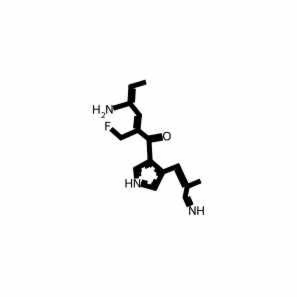 C/C=C(N)\C=C(/CF)C(=O)c1c[nH]cc1/C=C(/C)C=N